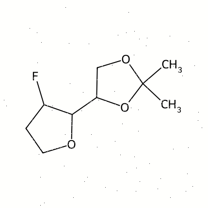 CC1(C)OCC(C2OCCC2F)O1